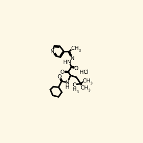 CC(=NNC(=O)C(=O)C(CC(C)(C)C)NC(=O)C1CCCCC1)c1ccncc1.Cl